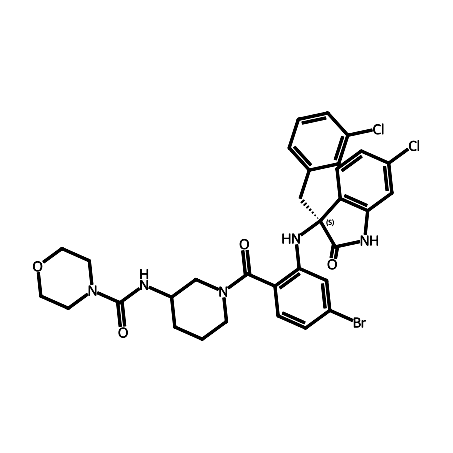 O=C(NC1CCCN(C(=O)c2ccc(Br)cc2N[C@]2(Cc3cccc(Cl)c3)C(=O)Nc3cc(Cl)ccc32)C1)N1CCOCC1